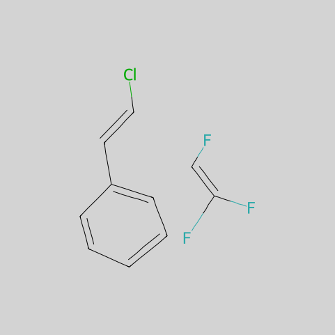 ClC=Cc1ccccc1.FC=C(F)F